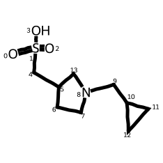 O=S(=O)(O)CC1CCN(CC2CC2)C1